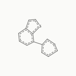 [c]1cccc(-c2cccc3ccsc23)c1